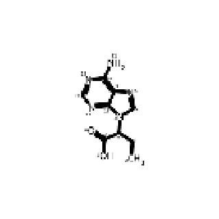 CCC(C(=O)O)n1cnc2c(N)ncnc21